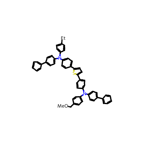 CCc1ccc(N(c2ccc(-c3ccccc3)cc2)c2ccc(-c3ccc(-c4ccc(N(c5ccc(COC)cc5)c5ccc(-c6ccccc6)cc5)cc4)s3)cc2)cc1